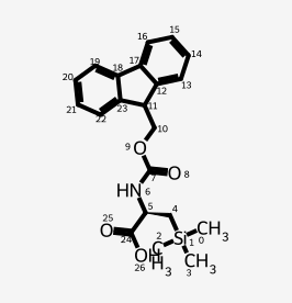 C[Si](C)(C)C[C@H](NC(=O)OCC1c2ccccc2-c2ccccc21)C(=O)O